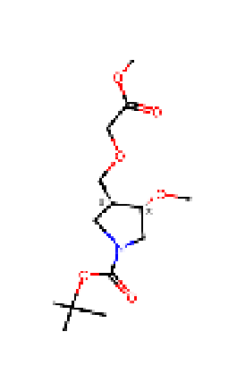 COC(=O)COC[C@@H]1CN(C(=O)OC(C)(C)C)C[C@H]1OC